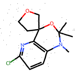 CN1c2ccc(Cl)nc2C2(CCOC2)OC1(C)C